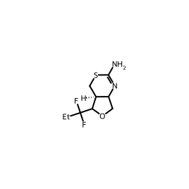 CCC(F)(F)C1OCC2N=C(N)SC[C@@H]21